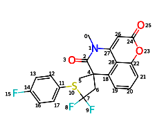 CN1C(=O)C(C)(CC(F)(F)Sc2ccc(F)cc2)c2cccc3oc(=O)cc1c23